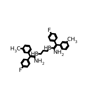 Cc1cccc(C(=C(N)BCCCBC(N)=C(c2ccc(F)cc2)c2cccc(C)c2)c2ccc(F)cc2)c1